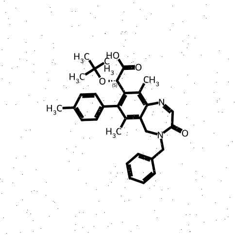 Cc1ccc(-c2c(C)c3c(c(C)c2[C@H](OC(C)(C)C)C(=O)O)N=CC(=O)N(Cc2ccccc2)C3)cc1